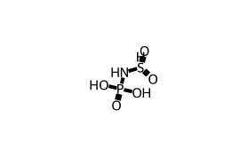 O=[SH](=O)NP(=O)(O)O